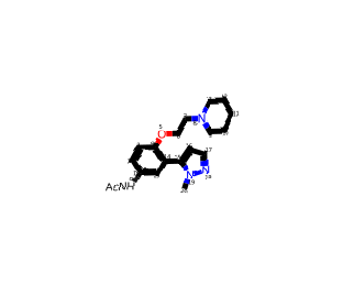 CC(=O)Nc1ccc(OCCN2CCCCC2)c(-c2ccnn2C)c1